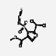 COC(=O)c1csc(C(Cl)Cl)c1S(=O)(=O)N=C=S